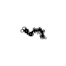 CC(C)(C)OC(=O)CNC(=O)c1csc(SCC(=O)NCC2CN(Cc3ccc(Cl)c(Cl)c3)CCO2)n1